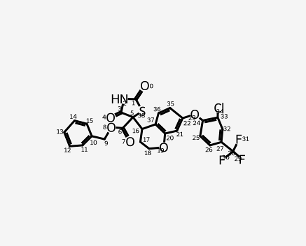 O=C1NC(=O)C(C(=O)OCc2ccccc2)(C2CCOc3cc(Oc4ccc(C(F)(F)F)cc4Cl)ccc32)S1